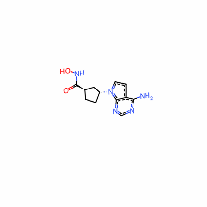 Nc1ncnc2c1ccn2[C@@H]1CC[C@@H](C(=O)NO)C1